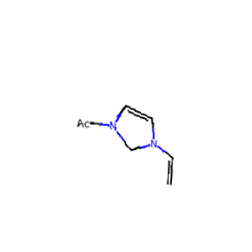 C=CN1C=CN(C(C)=O)C1